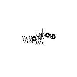 COc1cc(Nc2ncnc(Nc3ccc(N4CCCCC4)cc3)n2)cc(OC)c1OC